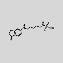 CC(C)(C)S(=O)(=O)NCCCCCNc1ccc2c(c1)CCC2=O